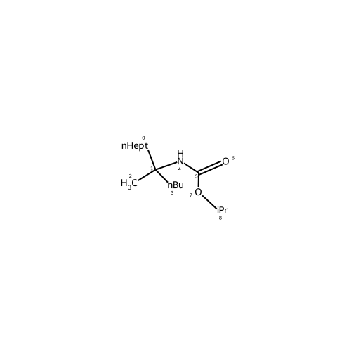 CCCCCCCC(C)(CCCC)NC(=O)OC(C)C